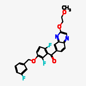 COCCOc1cnc2ccc(C(=O)c3c(F)ccc(OCc4cccc(F)c4)c3F)cc2n1